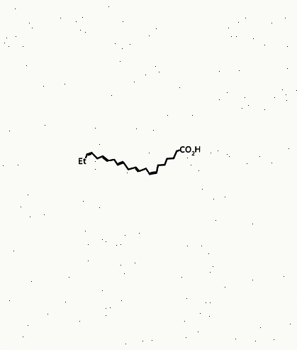 CC/C=C\C/C=C/C/C=C/C/C=C/C/C=C\CCCCCC(=O)O